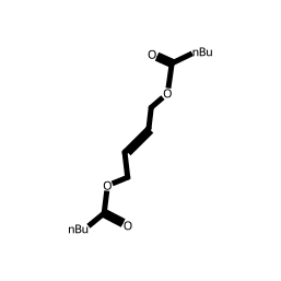 CCCCC(=O)OCC=CCOC(=O)CCCC